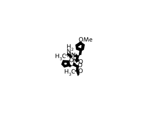 COc1ccc(C[C@H](NC(=O)[C@H](C)N)C(=O)N[C@@H](CC2=CCCC2)C(=O)[C@@]2(C)CO2)cc1